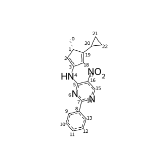 C[C@H]1C=C(Nc2nc(-c3ccccc3)ncc2[N+](=O)[O-])C=C1C1CC1